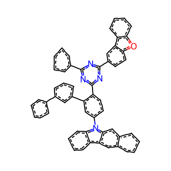 c1ccc(-c2cccc(-c3cc(-n4c5ccccc5c5cc6ccccc6cc54)ccc3-c3nc(-c4ccccc4)nc(-c4ccc5oc6ccccc6c5c4)n3)c2)cc1